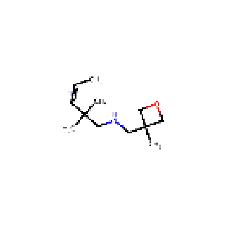 C/C=C\C(C)(C)CNCC1(C)COC1